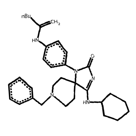 C=C(CCCC)Nc1ccc(N2C(=O)N=C(NC3CCCCC3)C23CCN(Cc2ccccc2)CC3)cc1